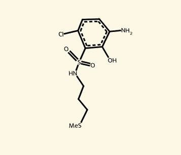 CSCCCNS(=O)(=O)c1c(Cl)ccc(N)c1O